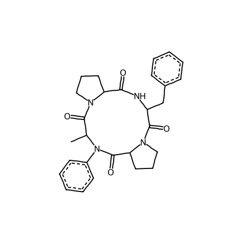 CC1C(=O)N2CCCC2C(=O)NC(Cc2ccccc2)C(=O)N2CCCC2C(=O)N1c1ccccc1